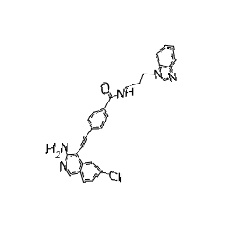 Nc1ncc2ccc(Cl)cc2c1C#Cc1ccc(C(=O)NCCCn2cnc3ccccc32)cc1